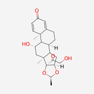 C[C@@H]1O[C@@H]2CC3[C@@H]4CCC5=CC(=O)C=C[C@]5(C)C4[C@@H](O)C[C@]3(C)[C@]2(C(=O)CO)O1